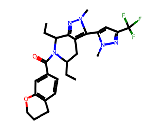 CCC1Cc2c(nn(C)c2-c2cc(C(F)(F)F)nn2C)C(CC)N1C(=O)c1ccc2c(c1)OCCC2